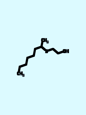 CCCCCCC(C)SCCO